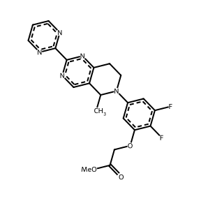 COC(=O)COc1cc(N2CCc3nc(-c4ncccn4)ncc3C2C)cc(F)c1F